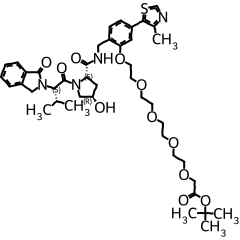 Cc1ncsc1-c1ccc(CNC(=O)[C@@H]2C[C@@H](O)CN2C(=O)[C@H](C(C)C)N2Cc3ccccc3C2=O)c(OCCOCCOCCOCCOCC(=O)OC(C)(C)C)c1